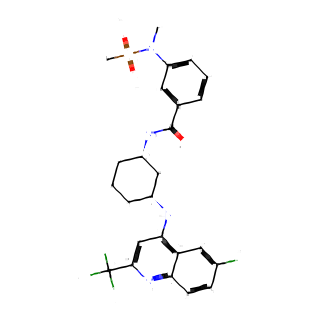 CN(c1cccc(C(=O)N[C@@H]2CCC[C@H](Nc3cc(C(F)(F)F)nc4ccc(Cl)cc34)C2)c1)S(C)(=O)=O